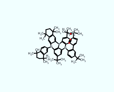 CC(C)(C)c1ccc2c(c1)B1c3cc4c(cc3N(c3ccc5c(c3)C(C)(C)CCC5(C)C)c3cc(C(C)(C)C)cc(c31)N2c1ccc(C(C)(C)C)cc1-c1ccc([Si](C)(C)C)cc1)C(C)(C)CCC4(C)C